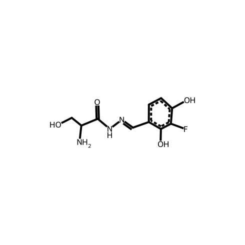 NC(CO)C(=O)N/N=C/c1ccc(O)c(F)c1O